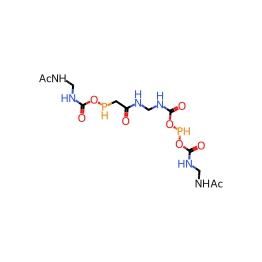 CC(=O)NCNC(=O)OPCC(=O)NCNC(=O)OPOC(=O)NCNC(C)=O